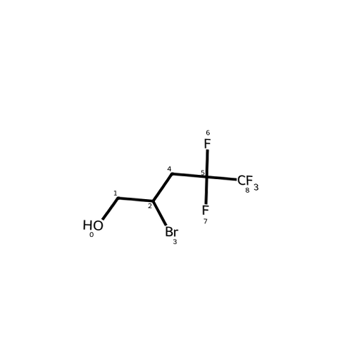 OCC(Br)CC(F)(F)C(F)(F)F